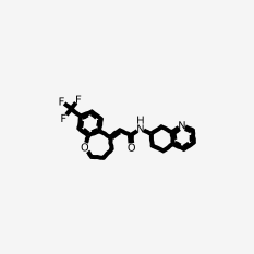 O=C(/C=C1\CCCOc2cc(C(F)(F)F)ccc21)NC1CCc2cccnc2C1